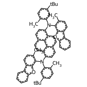 Cc1ccc(C(C)(C)C)cc1N(c1ccc2ccc3c(N(c4cc(C(C)(C)C)ccc4C)c4c(C)ccc5c4oc4ccccc45)ccc4ccc1c2c43)c1c(C)ccc2c1oc1ccccc12